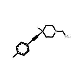 Cc1ccc(C#CC2(F)CCN(CC(C)(C)C)CC2)cc1